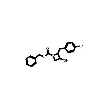 O=C(OCc1ccccc1)N1CC(O)C1Cc1ccc(Br)cc1